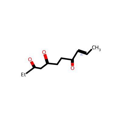 C/C=C/C(=O)CCC(=O)CC(=O)CC